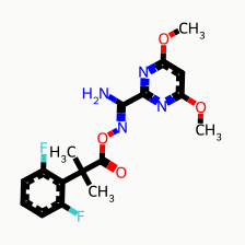 COc1cc(OC)nc(C(N)=NOC(=O)C(C)(C)c2c(F)cccc2F)n1